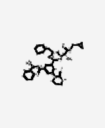 C[C@H](NC[C@H](Cc1ccccc1)NC(=O)c1cc(C(=O)N[C@H](C)c2ccccc2)cc(N2CCCOC2=O)c1)C(=O)NCC1CC1